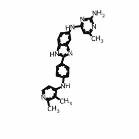 Cc1cc(Nc2ccc3[nH]c(-c4ccc(Nc5ccnc(C)c5C)cc4)nc3c2)nc(N)n1